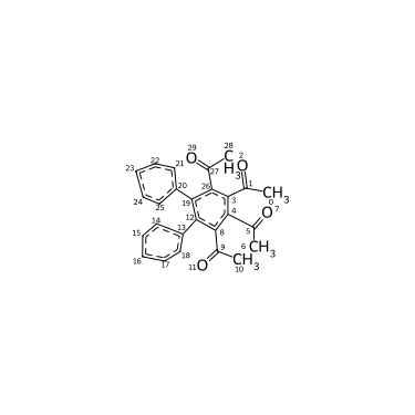 CC(=O)c1c(C(C)=O)c(C(C)=O)c(-c2ccccc2)c(-c2ccccc2)c1C(C)=O